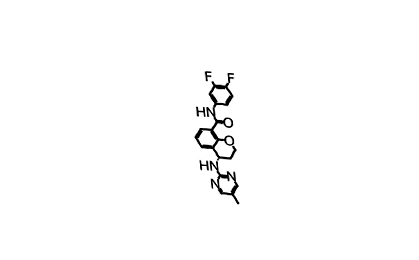 Cc1cnc(N[C@H]2CCOc3c(C(=O)Nc4ccc(F)c(F)c4)cccc32)nc1